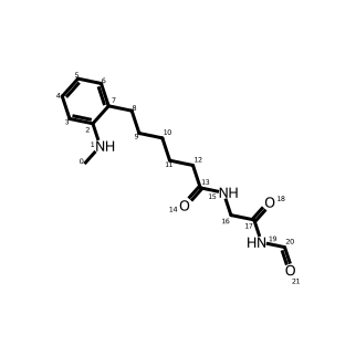 CNc1ccccc1CCCCCC(=O)NCC(=O)NC=O